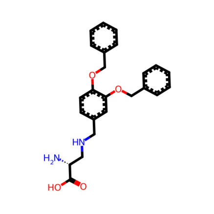 N[C@H](CNCc1ccc(OCc2ccccc2)c(OCc2ccccc2)c1)C(=O)O